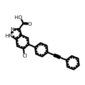 O=C(O)c1n[nH]c2cc(Cl)c(-c3ccc(C#Cc4ccccc4)cc3)cc12